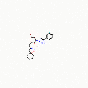 COC1C(CC2=NOC3(CCCCC3)C2)OC(CO)C(O)C1n1cc(-c2ccc(C)c(F)c2)nn1